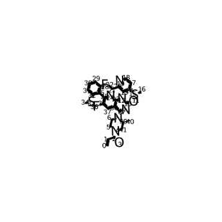 C=CC(=O)N1CCN(c2nc(=O)n(-c3c(SC)ccnc3CC)c3nc(-c4c(F)cccc4SC)c(F)cc23)[C@@H](C)C1